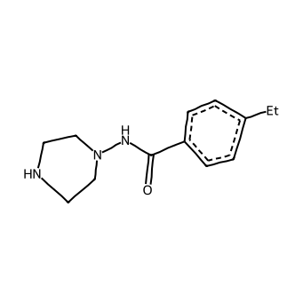 CCc1ccc(C(=O)NN2CCNCC2)cc1